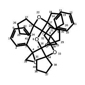 c1ccc(C2(C3(OC4(C5(c6ccccc6)CO5)C5(CCCC5)OC45CCCC5)C4(CCCC4)OC34CCCC4)CO2)cc1